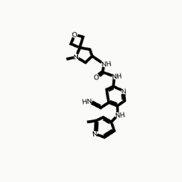 Cc1cc(Nc2cnc(NC(=O)NC3CN(C)C4(COC4)C3)cc2C=N)ccn1